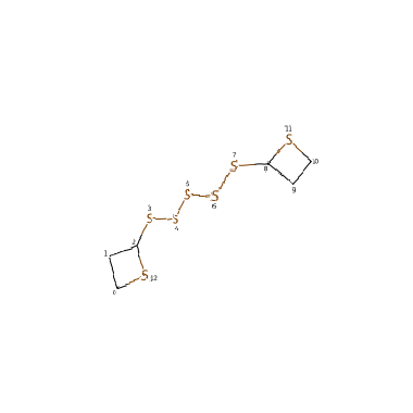 C1CC(SSSSSC2CCS2)S1